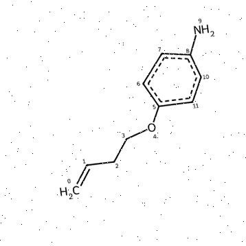 C=CCCOc1ccc(N)cc1